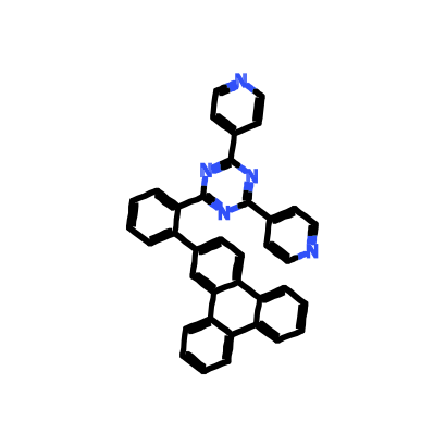 c1ccc(-c2nc(-c3ccncc3)nc(-c3ccncc3)n2)c(-c2ccc3c4ccccc4c4ccccc4c3c2)c1